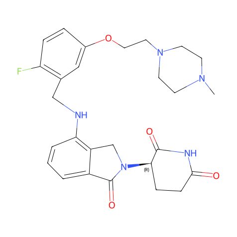 CN1CCN(CCOc2ccc(F)c(CNc3cccc4c3CN([C@@H]3CCC(=O)NC3=O)C4=O)c2)CC1